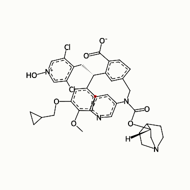 COc1ccc([C@H](Cc2c(Cl)c[n+](O)cc2Cl)c2cc(CN(C(=O)O[C@H]3CN4CCC3CC4)c3cccnc3)ccc2C(=O)[O-])cc1OCC1CC1